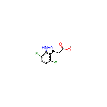 COC(=O)Cc1n[nH]c2c(F)ccc(F)c12